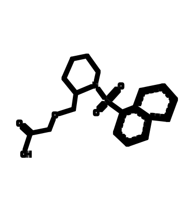 O=C(O)COCC1CCCCN1S(=O)(=O)c1cccc2ccccc12